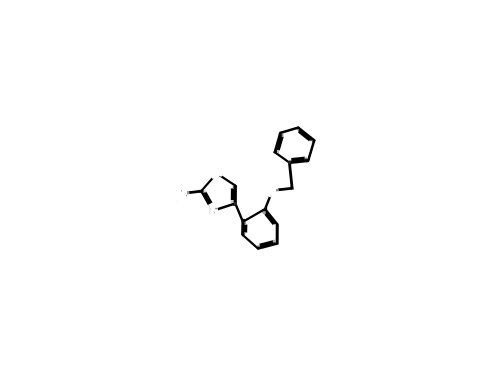 Nc1nc(-c2ccccc2OCc2ccccc2)cs1